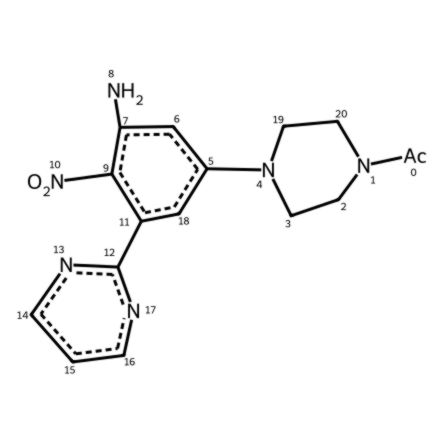 CC(=O)N1CCN(c2cc(N)c([N+](=O)[O-])c(-c3ncccn3)c2)CC1